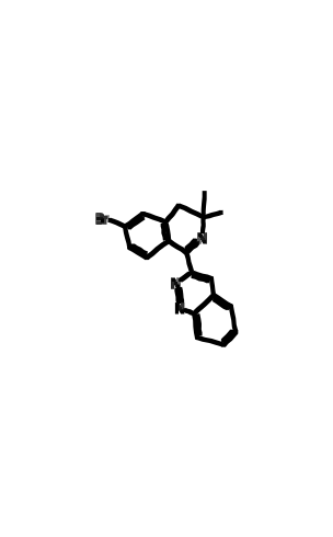 CC1(C)Cc2cc(Br)ccc2C(c2cc3ccccc3nn2)=N1